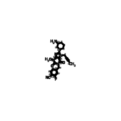 CC#CCn1c(N2CCCC(N)C2)nc2c1c(=O)n(Cc1ccc(C#N)c(F)c1)c(=O)n2C